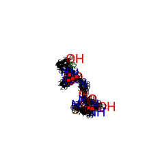 CCc1cccc2cc(O)cc(-c3ncc4c(N5CC6CCC(C5)N6C(=O)OC(C)(C)C)nc(OCCN5CCC(COc6cc([C@H](C(=O)N7C[C@H](O)C[C@H]7C(=O)N[C@@H](C)c7ccc(-c8scnc8C)cc7)C(C)C)on6)CC5)nc4c3F)c12